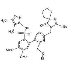 CCCCC1=NC2(CCCC2)C(=O)N1Cc1ccc(-c2cc(OC)c(OC)cc2S(=O)(=O)Nc2noc(C)c2C)c(COCC)c1